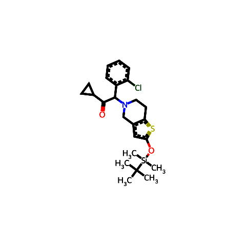 CC(C)(C)[Si](C)(C)Oc1cc2c(s1)CCN(C(C(=O)C1CC1)c1ccccc1Cl)C2